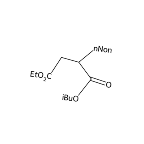 CCCCCCCCCC(CC(=O)OCC)C(=O)OCC(C)C